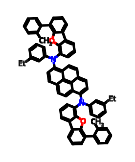 CCc1cccc(N(c2ccc3ccc4c(N(c5cccc(CC)c5)c5cccc6c5oc5c(-c7ccccc7C)cccc56)ccc5ccc2c3c54)c2cccc3c2oc2c(-c4ccccc4C)cccc23)c1